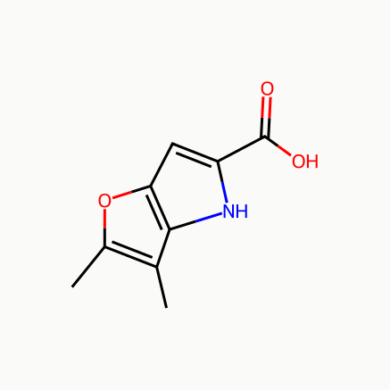 Cc1oc2cc(C(=O)O)[nH]c2c1C